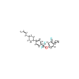 C/C=C\CC1CCC(c2ccc(C(F)(F)Oc3ccc(C#N)c(F)c3)cc2)CC1